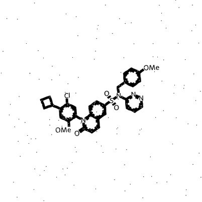 COc1ccc(CN(c2cccnn2)S(=O)(=O)c2ccc3c(ccc(=O)n3-c3cc(Cl)c(C4CCC4)cc3OC)c2)cc1